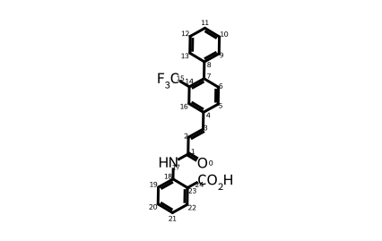 O=C(C=Cc1ccc(-c2ccccc2)c(C(F)(F)F)c1)Nc1ccccc1C(=O)O